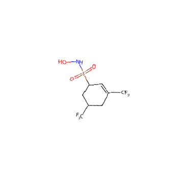 O=S(=O)(NO)C1C=C(C(F)(F)F)CC(C(F)(F)F)C1